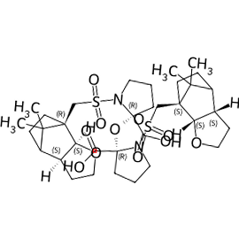 CC1(C)C2CC[C@]1(CS(=O)(=O)N1CCC[C@@]1(O[C@@]1(C(=O)O)CCCN1S(=O)(=O)C[C@]13CCC([C@@H]4CCO[C@@H]41)C3(C)C)C(=O)O)[C@H]1OCC[C@@H]21